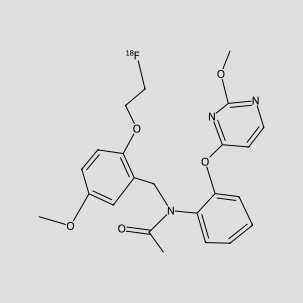 COc1ccc(OCC[18F])c(CN(C(C)=O)c2ccccc2Oc2ccnc(OC)n2)c1